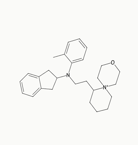 Cc1ccccc1N(CCC1CCCC[N+]12CCOCC2)C1Cc2ccccc2C1